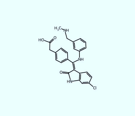 CNCc1cccc(NC(=C2C(=O)Nc3cc(Cl)ccc32)c2ccc(CC(=O)O)cc2)c1